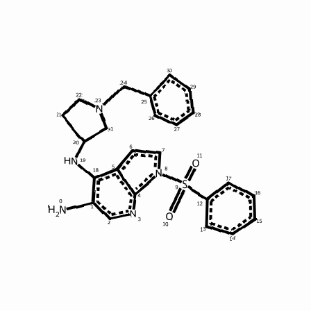 Nc1cnc2c(ccn2S(=O)(=O)c2ccccc2)c1NC1CCN(Cc2ccccc2)C1